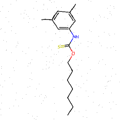 CCCCCCCOC(=S)Nc1cc(C)cc(C)c1